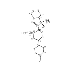 CN1CCC(C2CCN(C(=O)[C@@](C)(N)C3CCCCC3)CC2)CC1.Cl.Cl